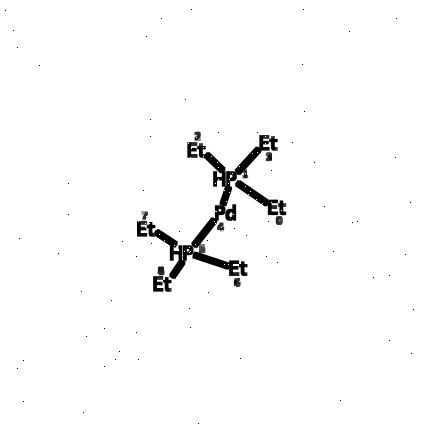 CC[PH](CC)(CC)[Pd][PH](CC)(CC)CC